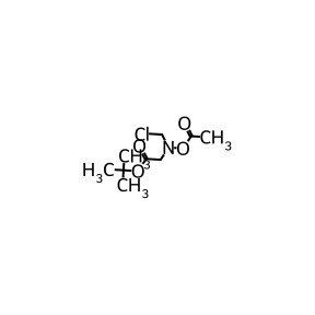 CC(=O)ON(CCl)CC(=O)OC(C)(C)C